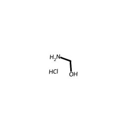 Cl.NCO